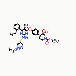 CCc1c(Oc2ccc(C3CCN(C(=O)OC(C)(C)C)CC3O)cc2)nc(NSc2cnn(C)c2)nc1-c1ccccc1CC(C)C